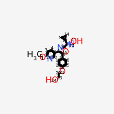 COc1ccc(-c2nc(/C(=N/O)C3CC3)oc2-c2ccc(OCCO)cc2)cn1